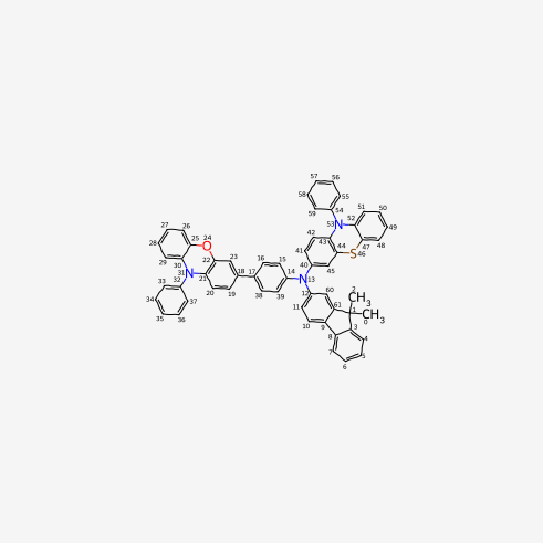 CC1(C)c2ccccc2-c2ccc(N(c3ccc(-c4ccc5c(c4)Oc4ccccc4N5c4ccccc4)cc3)c3ccc4c(c3)Sc3ccccc3N4c3ccccc3)cc21